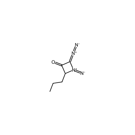 CCCC1C(=O)C(=[N+]=[N-])[N+]1=[N-]